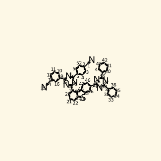 N#Cc1ccc(-c2nc(-c3cccc(C#N)c3)nc(-c3cccc4sc5cc(-c6nc(-c7ccccc7)nc(-c7ccccc7)n6)ccc5c34)n2)cc1